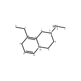 CCC1=C2CN(NC)CCN2C=CC1